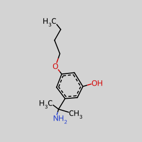 CCCCOc1cc(O)cc(C(C)(C)N)c1